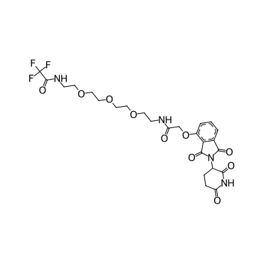 O=C(COc1cccc2c1C(=O)N(C1CCC(=O)NC1=O)C2=O)NCCOCCOCCOCCNC(=O)C(F)(F)F